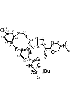 C=C[C@H]([C@H]1OC[C@@H](N(C)C)CO1)[C@@H]1CC[C@H]1CN1CCCCc2cc(Cl)ccc2COc2ccc(C(=O)NS(=O)(=O)[C@H](C)[C@@H](C)CC)nc21